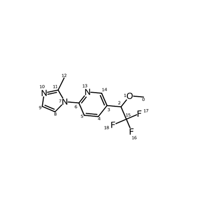 COC(c1ccc(-n2ccnc2C)nc1)C(F)(F)F